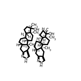 C[C@]12Cc3c[nH]nc3C[C@@H]1CC[C@@H]1[C@@H]2CC[C@@]2(C)[C@H]1CC[C@]2(C)O.C[C@]12Cc3c[nH]nc3C[C@@H]1CC[C@@H]1[C@@H]2CC[C@@]2(C)[C@H]1CC[C@]2(C)O